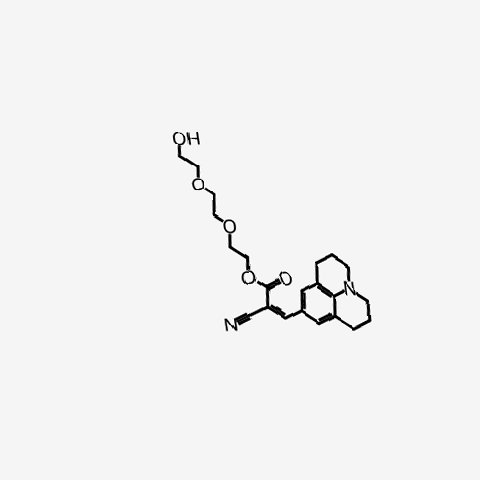 N#CC(=Cc1cc2c3c(c1)CCCN3CCC2)C(=O)OCCOCCOCCO